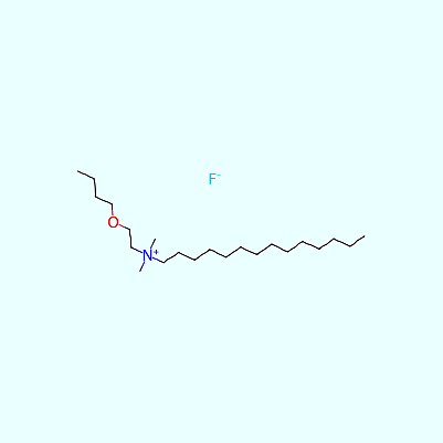 CCCCCCCCCCCCCC[N+](C)(C)CCOCCCC.[F-]